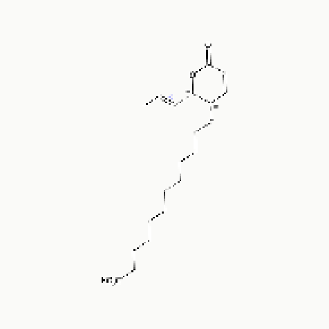 C/C=C/[C@@H]1OC(=O)C=C[C@@H]1CCCCCCCCCCCC(=O)O